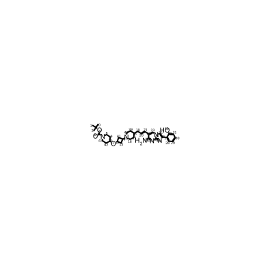 CC(C)(C)OC(=O)N1CCC(O[C@H]2C[C@H](N3CCC(C/C=C/c4cn5cc(-c6ccccc6O)nc5nc4N)CC3)C2)CC1